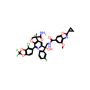 COc1cc(C(=O)NC[C@@](O)(c2cccc(F)c2)c2cc3c(c(-c4ccc5c(c4Cl)OC(F)(F)O5)n2)OC[C@]3(C)C(N)=O)cc2oc(C3CC3)nc12